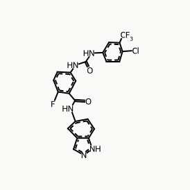 O=C(Nc1ccc(F)c(C(=O)Nc2ccc3[nH]ncc3c2)c1)Nc1ccc(Cl)c(C(F)(F)F)c1